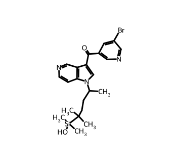 CC(CCC(C)(C)[Si](C)(C)O)n1cc(C(=O)c2cncc(Br)c2)c2cnccc21